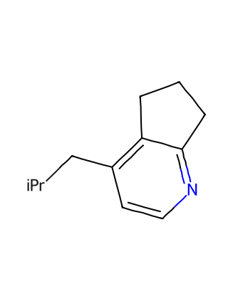 CC(C)Cc1ccnc2c1CCC2